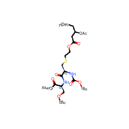 CCCCCCCCCCCC(CC(=O)OCCSC[C@@H](NC(=O)OC(C)(C)C)C(=O)N[C@@H](COC(C)(C)C)C(=O)OC)OC(C)=O